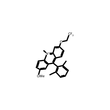 COc1ccc2c(c1)c(-c1c(C)cccc1C)c1ccc(OCC(F)(F)F)cc1[n+]2C